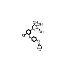 OC[C@H]1OC(c2ccc(Cl)c(Cc3ccc(OC4C5COCC54)cc3)c2)C[C@@H](O)[C@@H]1O